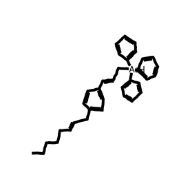 CCCCCC=CCc1ccc(C=CC[AsH](c2ccccc2)(c2ccccc2)c2ccccc2)cc1